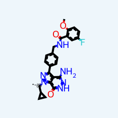 COc1ccc(F)cc1C(=O)NCc1ccc(-c2nn([C@@H](C)C3CC3)c3c(=O)[nH]nc(N)c23)cc1